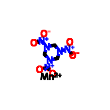 O=[N+]([O-])N1CN([N+](=O)[O-])CN([N+](=O)[O-])C1.[Mn+2]